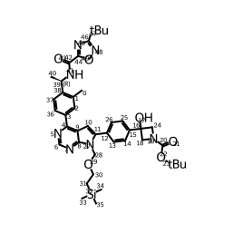 Cc1cc(-c2ncnc3c2cc(-c2ccc(C4(O)CN(C(=O)OC(C)(C)C)C4)cc2)n3COCC[Si](C)(C)C)ccc1[C@@H](C)NC(=O)c1nc(C(C)(C)C)no1